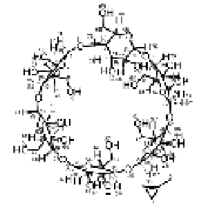 CC1=CC1.OC[C@H]1O[C@@H]2O[C@H]3[C@H](O)[C@@H](O)[C@@H](O[C@H]4[C@H](O)[C@@H](O)[C@@H](O[C@H]5[C@H](O)[C@@H](O)[C@@H](O[C@H]6[C@H](O)[C@@H](O)[C@@H](O[C@H]7[C@H](O)[C@@H](O)[C@@H](O[C@H]1[C@H](O)[C@H]2O)O[C@@H]7CO)O[C@@H]6CO)O[C@@H]5CO)O[C@@H]4CO)O[C@@H]3CO